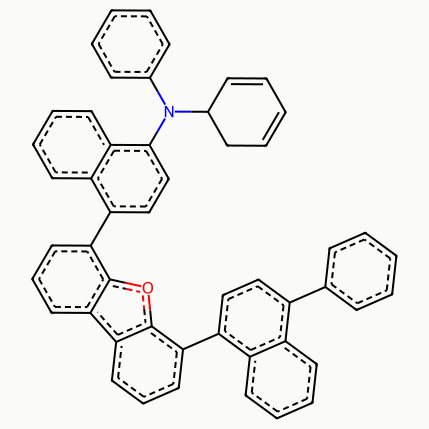 C1=CCC(N(c2ccccc2)c2ccc(-c3cccc4c3oc3c(-c5ccc(-c6ccccc6)c6ccccc56)cccc34)c3ccccc23)C=C1